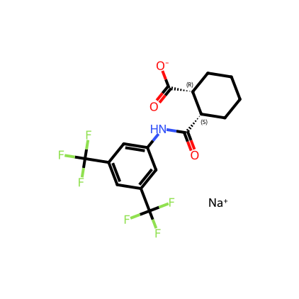 O=C(Nc1cc(C(F)(F)F)cc(C(F)(F)F)c1)[C@H]1CCCC[C@H]1C(=O)[O-].[Na+]